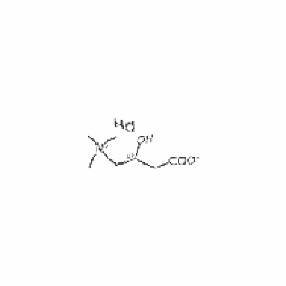 C[N+](C)(C)C[C@@H](O)CC(=O)[O-].Cl